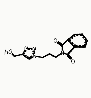 O=C1c2ccccc2C(=O)N1CCCn1cc(CO)nn1